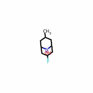 CC1CC2CC(F)CC(C1)N2O